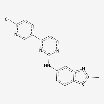 Cc1nc2cc(Nc3nccc(-c4ccc(Cl)nc4)n3)ccc2s1